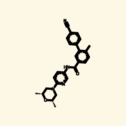 Cc1ccc(C(=O)Nc2ccc(N3C[C@@H](C)O[C@@H](C)C3)nc2)cc1-c1ccc(C#N)cc1